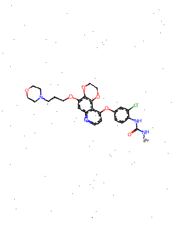 CC(C)NC(=O)Nc1ccc(Oc2ccnc3cc(OCCCN4CCOCC4)c4c(c23)OCCO4)cc1Cl